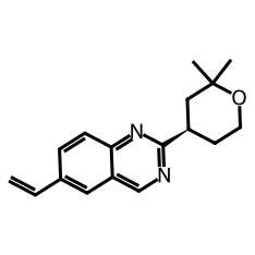 C=Cc1ccc2nc([C@@H]3CCOC(C)(C)C3)ncc2c1